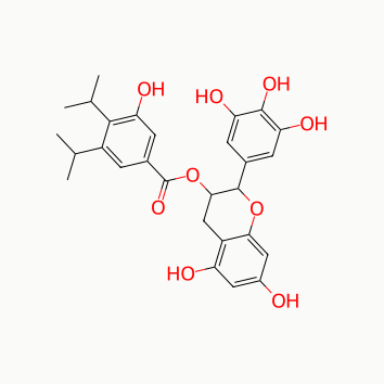 CC(C)c1cc(C(=O)OC2Cc3c(O)cc(O)cc3OC2c2cc(O)c(O)c(O)c2)cc(O)c1C(C)C